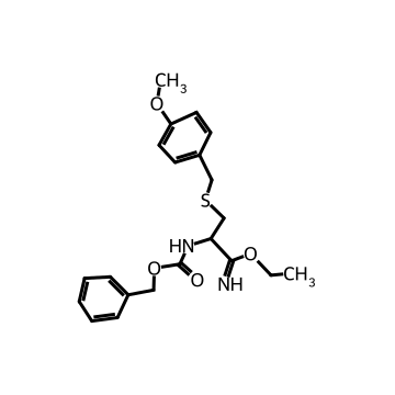 CCOC(=N)C(CSCc1ccc(OC)cc1)NC(=O)OCc1ccccc1